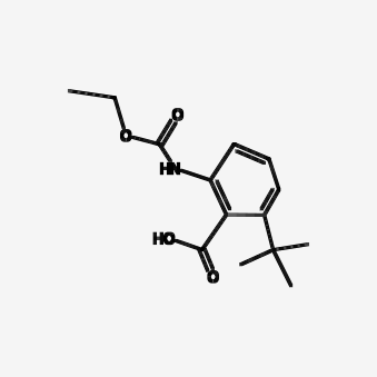 CCOC(=O)Nc1cccc(C(C)(C)C)c1C(=O)O